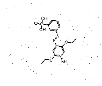 CCOc1cc(N=Nc2cccc(P(=O)(O)O)c2)c(OCC)cc1N